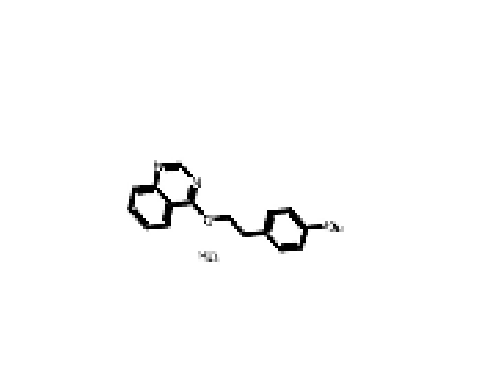 CC(C)(C)c1ccc(CCOc2ncnc3ccccc23)cc1.Cl